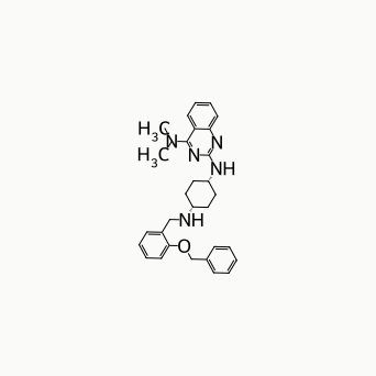 CN(C)c1nc(N[C@H]2CC[C@@H](NCc3ccccc3OCc3ccccc3)CC2)nc2ccccc12